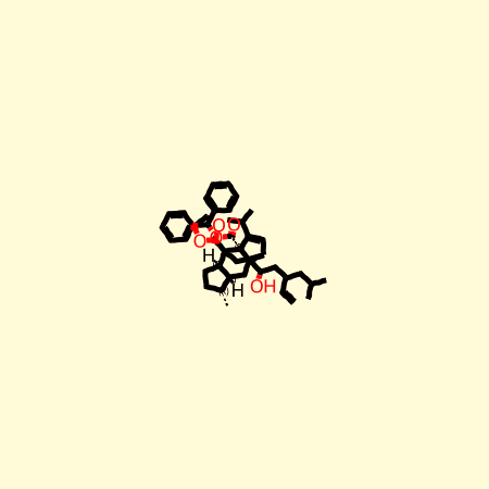 C=CC(CC(C)C)CC(O)C12C[C@@H]3[C@H](C)CC[C@H]3C3(C4OCCO4)CC1C=C(C(C)C)[C@@]23C(=O)OC(c1ccccc1)c1ccccc1